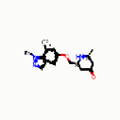 CC(C)n1ncc2cc(OC[C@@H]3CC(=O)C[C@H](C)N3)cc(C(F)(F)F)c21